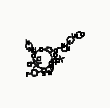 Cc1c(Cl)c2c(Cl)c(C)c1-c1c(-c3ccc(F)cc3)sc3ncnc(c13)O[C@@H](C(=O)OC(C)(C)C)Cc1cc(ccc1OCc1ccnc(N3CCC(C)(N4CCOCC4)CC3)n1)OC[C@@H](CN1CCN(C)CC1)O2